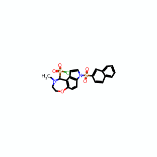 CN1CCOc2ccc3c(ccn3S(=O)(=O)c3ccc4ccccc4c3)c2C1S(=O)(=O)Cl